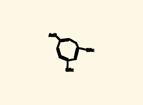 CC(=O)OC1=C=C/C(OC(C)=O)=C\C/C(OC(C)=O)=C\1